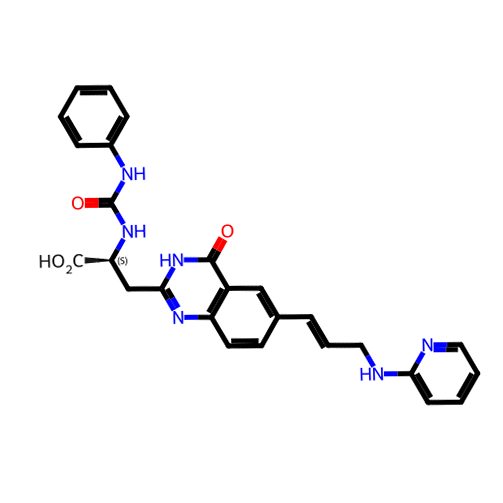 O=C(Nc1ccccc1)N[C@@H](Cc1nc2ccc(C=CCNc3ccccn3)cc2c(=O)[nH]1)C(=O)O